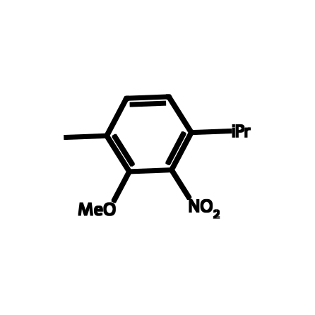 COc1c(C)ccc(C(C)C)c1[N+](=O)[O-]